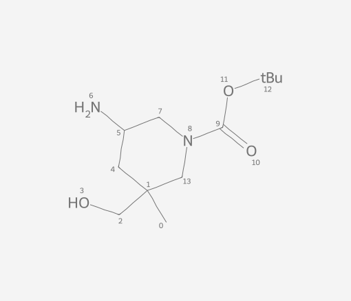 CC1(CO)CC(N)CN(C(=O)OC(C)(C)C)C1